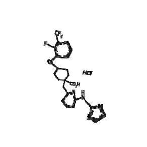 Cl.O=C(O)C1(Cc2cccc(Nc3nccs3)n2)CCC(Oc2cccc(C(F)(F)F)c2F)CC1